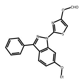 CCOc1ccc2c(-c3ccccc3)nn(-c3nc(OC=O)cs3)c2c1